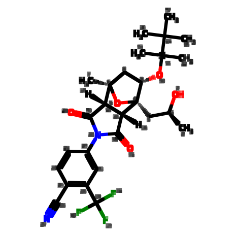 C[C@H](O)C[C@]12O[C@](C)(C[C@@H]1O[Si](C)(C)C(C)(C)C)[C@H]1C(=O)N(c3ccc(C#N)c(C(F)(F)F)c3)C(=O)[C@H]12